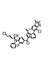 C=Cc1cc(C(=O)c2cc(F)c(N(C(=O)/C=C/CCl)c3ccccc3)c(F)c2)n2cccc(-c3c(C)cc4c(nc(C)n4C)c3Cl)c12